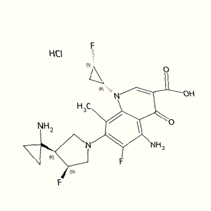 Cc1c(N2C[C@@H](F)[C@@H](C3(N)CC3)C2)c(F)c(N)c2c(=O)c(C(=O)O)cn([C@@H]3C[C@@H]3F)c12.Cl